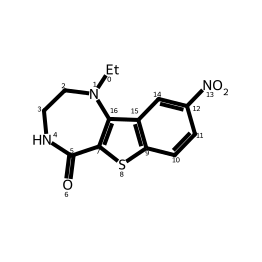 CCN1CCNC(=O)c2sc3ccc([N+](=O)[O-])cc3c21